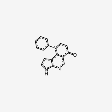 O=c1ccn(-c2ccccc2)c2c1cnc1[nH]ccc12